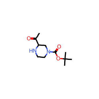 CC(=O)C1CN(C(=O)OC(C)(C)C)CCN1